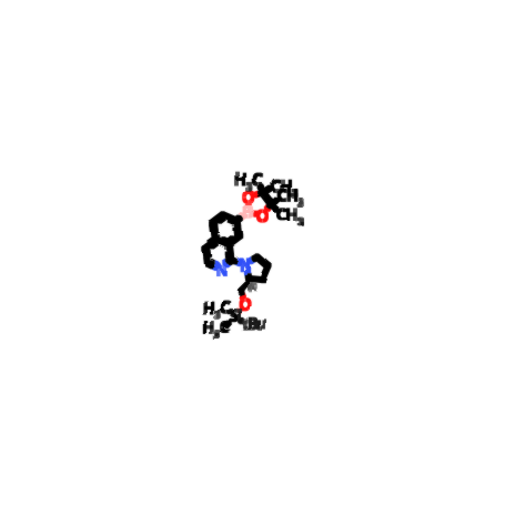 CC1(C)OB(c2ccc3ccnc(N4CCC[C@H]4CO[Si](C)(C)C(C)(C)C)c3c2)OC1(C)C